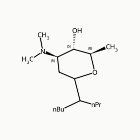 CCCCC(CCC)C1C[C@@H](N(C)C)[C@H](O)[C@@H](C)O1